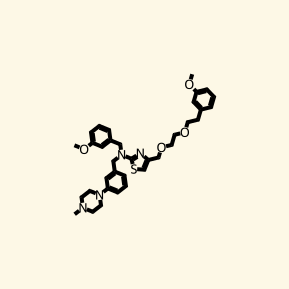 COc1cccc(CCOCCOCc2csc(N(Cc3cccc(OC)c3)Cc3cccc(N4CCN(C)CC4)c3)n2)c1